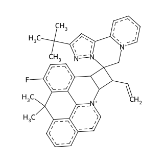 C=CC1C2C(c3ccc(F)c4c3-c3c5c(cccc5cc[n+]32)C4(C)C)C12C[n+]1ccccc1-c1cc(C(C)(C)C)nn12